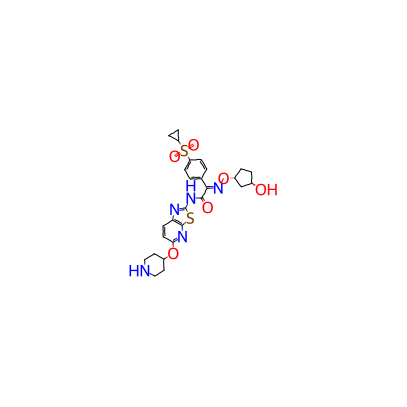 O=C(Nc1nc2ccc(OC3CCNCC3)nc2s1)/C(=N/O[C@@H]1CC[C@@H](O)C1)c1ccc(S(=O)(=O)C2CC2)cc1